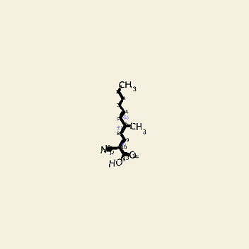 CCCC/C=C/C(C)=C/C=C(\C#N)C(=O)O